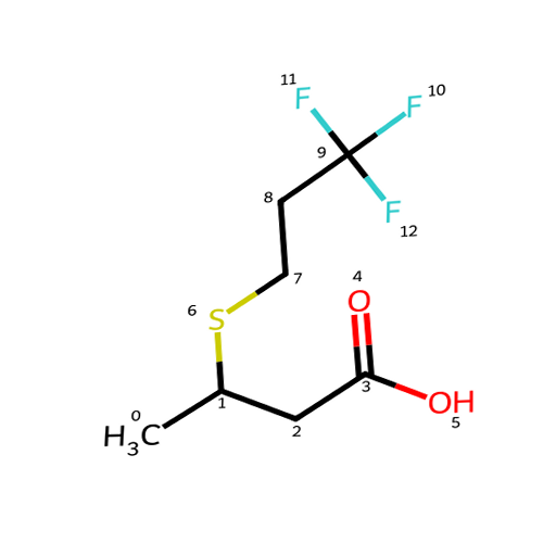 CC(CC(=O)O)SCCC(F)(F)F